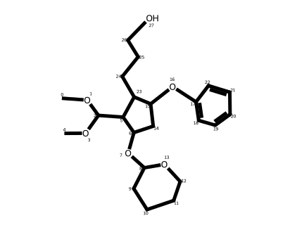 COC(OC)C1C(OC2CCCCO2)CC(Oc2ccccc2)C1CCCO